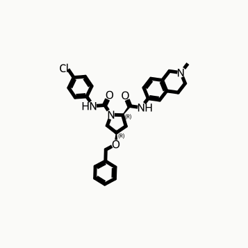 CN1CCc2cc(NC(=O)[C@H]3C[C@@H](OCc4ccccc4)CN3C(=O)Nc3ccc(Cl)cc3)ccc2C1